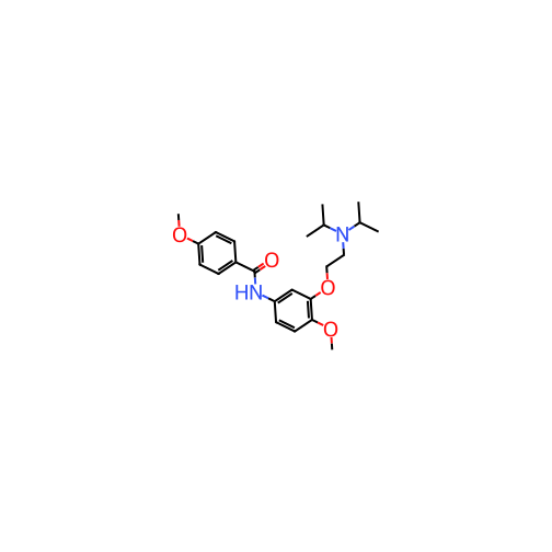 COc1ccc(C(=O)Nc2ccc(OC)c(OCCN(C(C)C)C(C)C)c2)cc1